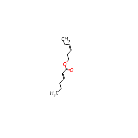 CC/C=C\CCOC(=O)C=CCCC